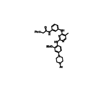 CCCC(C)CC(=O)Nc1cccc(Nc2nc(Nc3ccc(N4CCN(C(C)=O)CC4)cc3OC)ncc2C)c1